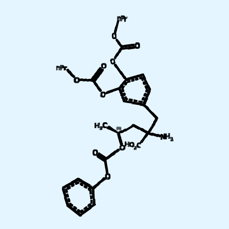 CCCOC(=O)Oc1ccc(CC(N)(C[C@H](C)OC(=O)Oc2ccccc2)C(=O)O)cc1OC(=O)OCCC